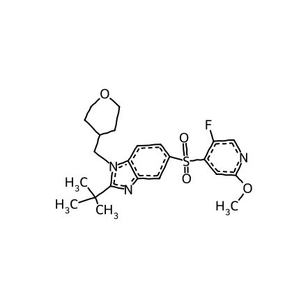 COc1cc(S(=O)(=O)c2ccc3c(c2)nc(C(C)(C)C)n3CC2CCOCC2)c(F)cn1